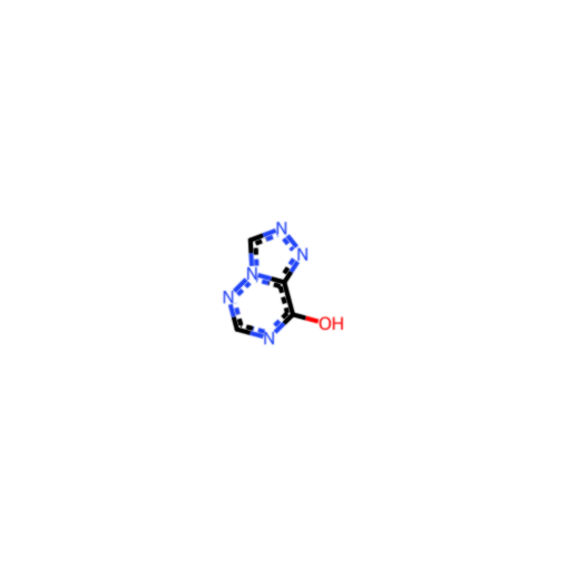 Oc1ncnn2cnnc12